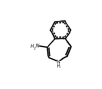 NC1=CNC=Cc2ccccc21